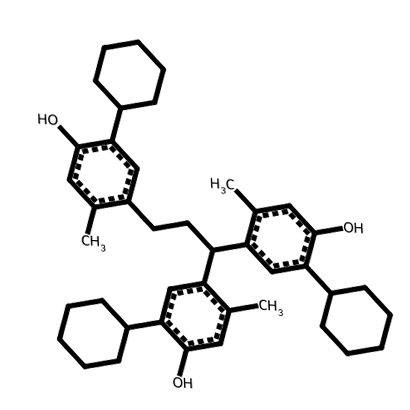 Cc1cc(O)c(C2CCCCC2)cc1CCC(c1cc(C2CCCCC2)c(O)cc1C)c1cc(C2CCCCC2)c(O)cc1C